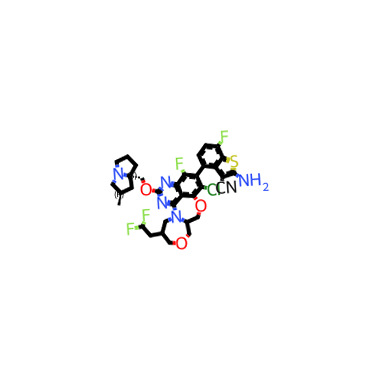 C[C@H]1CN2CCC[C@@]2(COc2nc3c4c(c(Cl)c(-c5ccc(F)c6sc(N)c(C#N)c56)c(F)c4n2)OCC2COCC(CC(F)F)CN32)C1